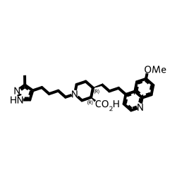 COc1ccc2nccc(CCC[C@@H]3CCN(CCCCc4c[nH]nc4C)C[C@@H]3C(=O)O)c2c1